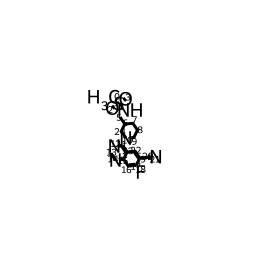 CS(=O)(=O)NCC1CCCN(c2ncnc3cc(F)c(C#N)cc23)C1